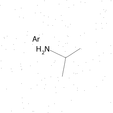 CC(C)N.[Ar]